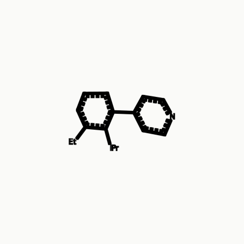 CCc1cccc(-c2ccncc2)c1C(C)C